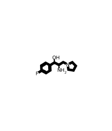 N[C@H](CN1CCCC1)[C@H](O)c1ccc(F)cc1